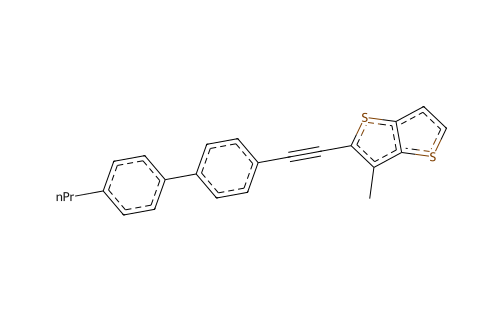 CCCc1ccc(-c2ccc(C#Cc3sc4ccsc4c3C)cc2)cc1